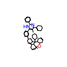 CC1=C(c2cccc(C3CC=CC(C4(C5CCCCC5)C5CC=CCC5OC5(C)C=CCC(C)C54)C3)c2)NC(c2ccccc2)N=C1C1=CCCCC1